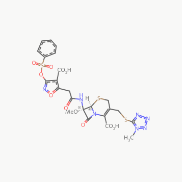 CO[C@@]1(NC(=O)Cc2onc(OS(=O)(=O)c3ccccc3)c2C(=O)O)C(=O)N2C(C(=O)O)=C(CSc3nnnn3C)CS[C@@H]21